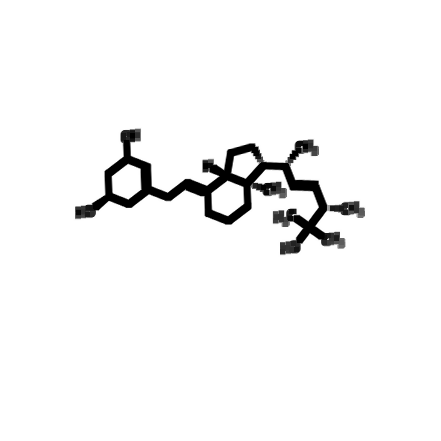 C[C@H](/C=C/[C@H](C)C(C)(C)O)[C@H]1CC[C@H]2/C(=C/CC3=CC(O)C[C@H](O)C3)CCC[C@]12C